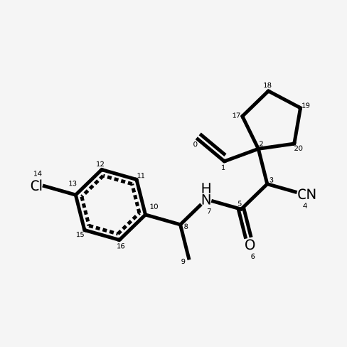 C=CC1(C(C#N)C(=O)NC(C)c2ccc(Cl)cc2)CCCC1